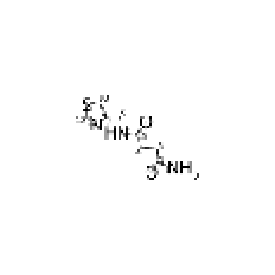 NC(=O)CCC(=O)NCc1cscn1